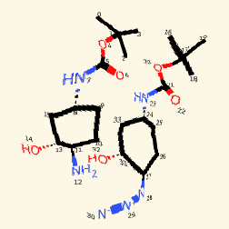 CC(C)(C)OC(=O)N[C@@H]1CC[C@@H](N)[C@H](O)C1.CC(C)(C)OC(=O)N[C@@H]1CC[C@@H](N=[N+]=[N-])[C@H](O)C1